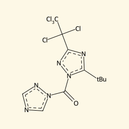 CC(C)(C)c1nc(C(Cl)(Cl)C(Cl)(Cl)Cl)nn1C(=O)n1cncn1